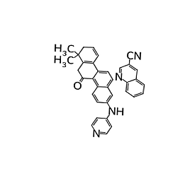 CC1(C)CC=CC2=C1CC(=O)c1c2ccc2cc(Nc3ccncc3)ccc12.N#Cc1cnc2ccccc2c1